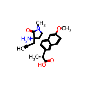 C#CC[C@@]1(N)CCN(C)C1=O.COc1ccc2cc([C@H](C)C(=O)O)ccc2c1